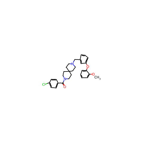 COc1ccccc1Oc1cccc(CN2CCC3(CC2)CCN(C(=O)c2ccc(Cl)cc2)CC3)c1